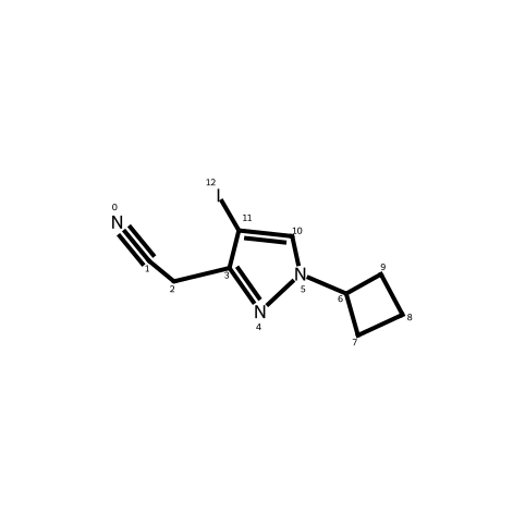 N#CCc1nn(C2CCC2)cc1I